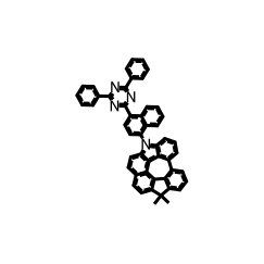 CC1(C)c2cccc3c2-c2c1ccc1ccc4c(c21)c1c-3cccc1n4-c1ccc(-c2nc(-c3ccccc3)nc(-c3ccccc3)n2)c2ccccc12